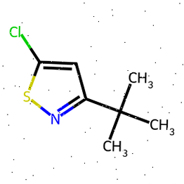 CC(C)(C)c1cc(Cl)sn1